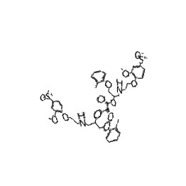 COc1cc([S+](C)[O-])ccc1OCCNCC(COc1ccccc1C)OC(=O)C(=O)OC(CNCCOc1ccc([S+](C)[O-])cc1OC)COc1ccccc1C